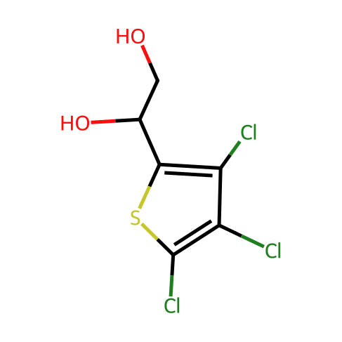 OCC(O)c1sc(Cl)c(Cl)c1Cl